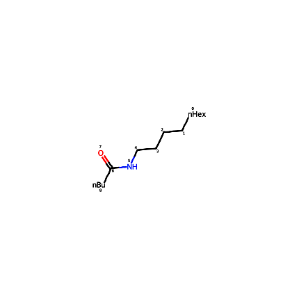 CCCCCCCCCCNC(=O)CCCC